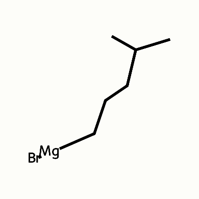 CC(C)CC[CH2][Mg][Br]